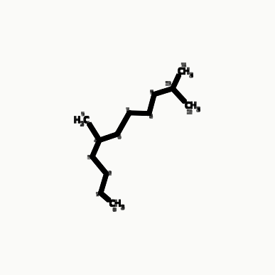 CCCCC(C)CCCC[C](C)C